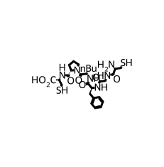 CCCC[C@H](NC(=O)[C@H](Cc1ccccc1)NC(=O)CNC(=O)[C@@H](N)CS)C(=O)N1CCC[C@H]1C(=O)N[C@@H](CS)C(=O)O